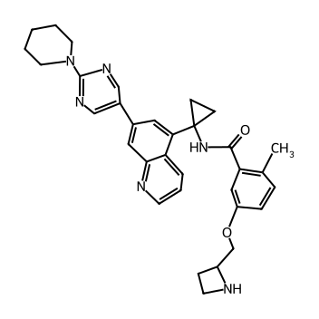 Cc1ccc(OCC2CCN2)cc1C(=O)NC1(c2cc(-c3cnc(N4CCCCC4)nc3)cc3ncccc23)CC1